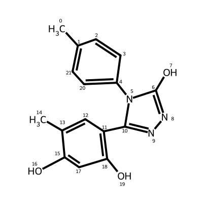 Cc1ccc(-n2c(O)nnc2-c2cc(C)c(O)cc2O)cc1